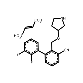 N#Cc1cccc(-c2cccc(F)c2F)c1COC1CCNC1.O=C(O)C=CC(=O)O